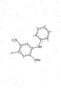 COc1cc(F)c([N+](=O)[O-])cc1Nc1ncccn1